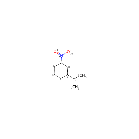 CC(C)C1CCCC([N+](=O)[O-])C1